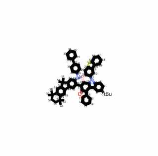 CC(C)(C)c1ccc2c(c1)c1c3c(oc4ccccc43)c3c4c1n2-c1cc2c(cc1B4N(c1ccc(-c4ccccc4)cc1)c1cc4c(cc1-3)-c1cc3c(cc1C4(C)C)C(C)(C)CCC3(C)C)sc1ccccc12